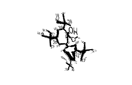 COC1(O)C(c2cc(C(C)(C)C)cc(C(C)(C)C)c2)=CC(C(C)(C)C)=CC1C(C)(C)C